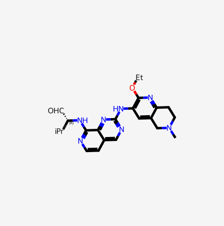 CCOc1nc2c(cc1Nc1ncc3ccnc(N[C@@H](C=O)C(C)C)c3n1)CN(C)CC2